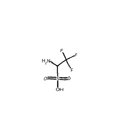 NC(C(F)(F)F)S(=O)(=O)O